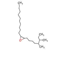 CCCCCCCCCCCC1OC1CCCCC(C)C(C)CC